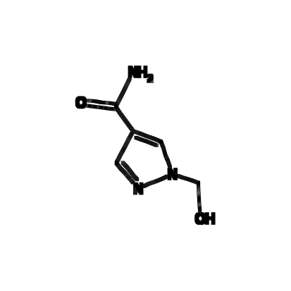 NC(=O)c1cnn(CO)c1